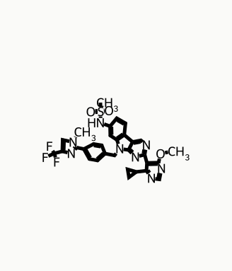 COc1ncnc(C2CC2)c1-c1ncc2c3ccc(NS(C)(=O)=O)cc3n(Cc3ccc(-c4nc(C(F)(F)F)cn4C)cc3)c2n1